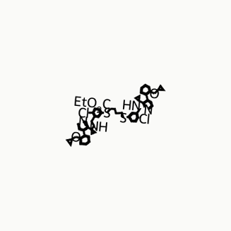 CCOC(=O)C(CCCSc1ccc(Cl)c(CNC2(c3cnccc3-c3ccccc3OC3CC3)CC2)c1)Sc1ccc(Cl)c(CNC2(c3cnccc3-c3ccccc3OC3CC3)CC2)c1